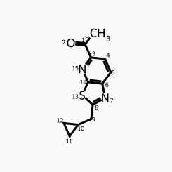 CC(=O)c1ccc2nc(CC3CC3)sc2n1